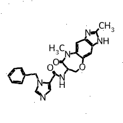 Cc1nc2cc3c(cc2[nH]1)OCC(NC(=O)c1cncn1Cc1ccccc1)C(=O)N3C